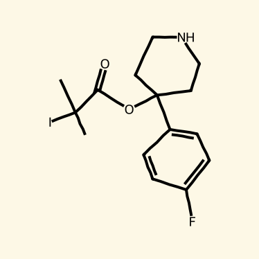 CC(C)(I)C(=O)OC1(c2ccc(F)cc2)CCNCC1